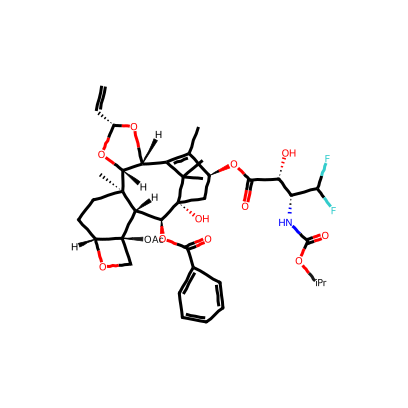 C=C[C@@H]1O[C@@H]2C3=C(C)[C@@H](OC(=O)[C@H](O)[C@@H](NC(=O)OC(C)C)C(F)F)C[C@@](O)([C@@H](OC(=O)c4ccccc4)[C@H]4[C@@](C)(CC[C@H]5OC[C@]54OC(C)=O)[C@@H]2O1)C3(C)C